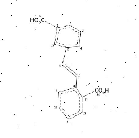 O=C(O)c1cccc(/C=C/c2ccccc2C(=O)O)c1